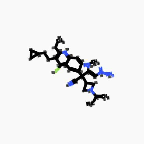 C=C(C)N1CC(C(C#N)(/C(=C/NN)NC)c2ccc3nc(CC)c(CCC4CC4)c(F)c3c2)C1